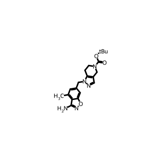 Cc1cc(Cn2ncc3c2CCN(C(=O)OC(C)(C)C)C3)cc2onc(N)c12